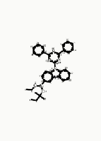 CCOB(OC(C)(C)CC)c1ccc2c(c1)c1ccccc1n2-c1nc(-c2ccccc2)nc(-c2ccccc2)n1